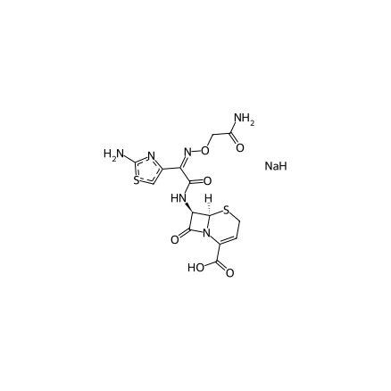 NC(=O)CO/N=C(\C(=O)N[C@@H]1C(=O)N2C(C(=O)O)=CCS[C@H]12)c1csc(N)n1.[NaH]